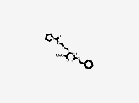 COC(=O)[C@H](COCOC(=O)N1CCCC1)NC(=O)OCc1ccccc1